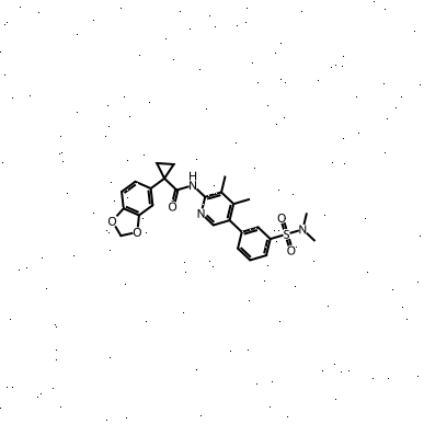 Cc1c(-c2cccc(S(=O)(=O)N(C)C)c2)cnc(NC(=O)C2(c3ccc4c(c3)OCO4)CC2)c1C